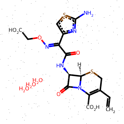 C=CC1=C(C(=O)O)N2C(=O)[C@@H](NC(=O)C(=NOCC(=O)O)c3csc(N)n3)[C@H]2SC1.O.O.O